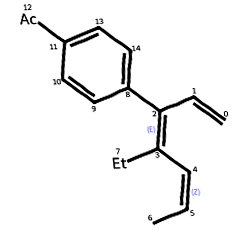 C=C/C(=C(\C=C/C)CC)c1ccc(C(C)=O)cc1